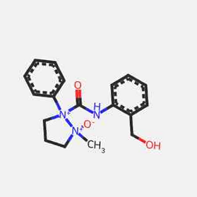 C[N+]1([O-])CCC[N+]1(C(=O)Nc1ccccc1CO)c1ccccc1